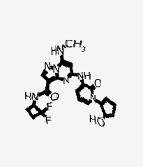 CNc1cc(Nc2cccn(C3CCC[C@H]3O)c2=O)nc2c(C(=O)NC3CCC3(F)F)cnn12